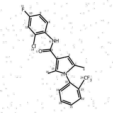 Cc1cc(C(=O)Nc2ccc(F)cc2Cl)c(C)n1-c1ccccc1C(F)(F)F